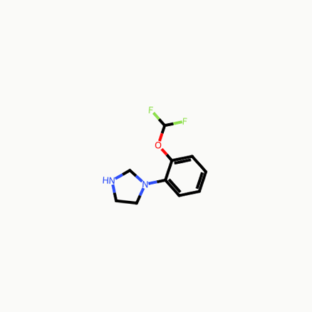 FC(F)Oc1ccccc1N1CCNC1